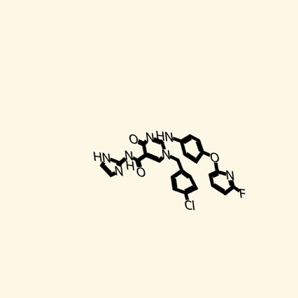 O=C(Nc1ncc[nH]1)c1cn(Cc2ccc(Cl)cc2)c(Nc2ccc(Oc3cccc(F)n3)cc2)nc1=O